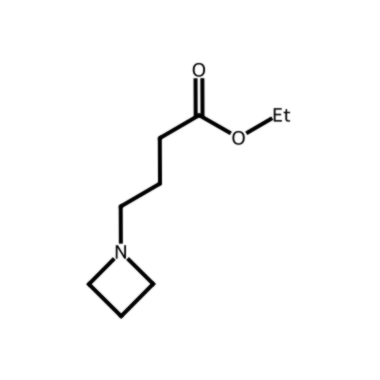 CCOC(=O)CCCN1CCC1